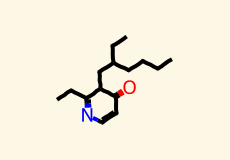 CCCCC(CC)CC1C(=O)C=CN=C1CC